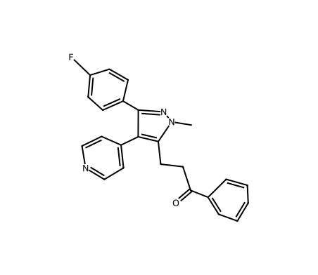 Cn1nc(-c2ccc(F)cc2)c(-c2ccncc2)c1CCC(=O)c1ccccc1